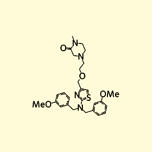 COc1cccc(CN(Cc2cccc(OC)c2)c2nc(COCCN3CCN(C)C(=O)C3)cs2)c1